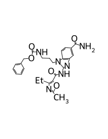 CCc1nc(C)oc1C(=O)Nc1nc2cc(C(N)=O)ccc2n1CCCNC(=O)OCc1ccccc1